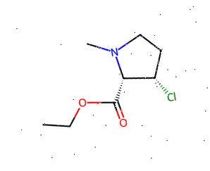 CCOC(=O)[C@H]1[C@@H](Cl)CCN1C